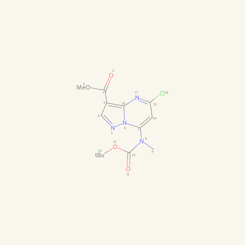 COC(=O)c1cnn2c(N(C)C(=O)OC(C)(C)C)cc(Cl)nc12